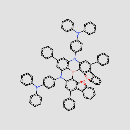 c1ccc(-c2cc3c4c(c2)N(c2ccc(N(c5ccccc5)c5ccccc5)cc2)c2cc(-c5ccccc5)c5c(oc6ccccc65)c2B4c2c(cc(-c4ccccc4)c4c2oc2ccccc24)N3c2ccc(N(c3ccccc3)c3ccccc3)cc2)cc1